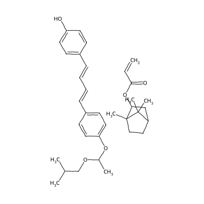 C=CC(=O)OC1CC2CCC1(C)C2(C)C.CC(C)COC(C)Oc1ccc(C=CC=Cc2ccc(O)cc2)cc1